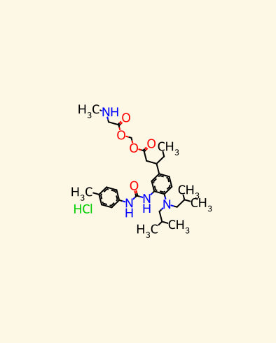 CCC(CC(=O)OCOC(=O)CNC)c1ccc(N(CC(C)C)CC(C)C)c(NC(=O)Nc2ccc(C)cc2)c1.Cl